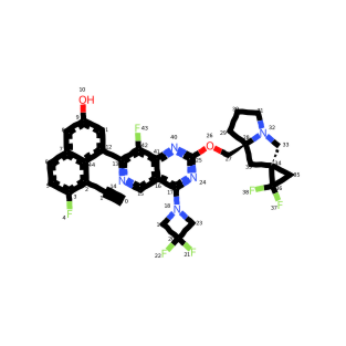 C#Cc1c(F)ccc2cc(O)cc(-c3ncc4c(N5CC(F)(F)C5)nc(OC[C@@]56CCCN5C[C@@]5(CC5(F)F)C6)nc4c3F)c12